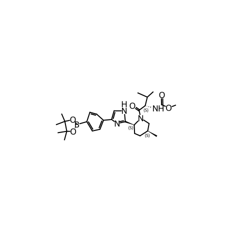 COC(=O)N[C@H](C(=O)N1C[C@@H](C)CC[C@H]1c1nc(-c2ccc(B3OC(C)(C)C(C)(C)O3)cc2)c[nH]1)C(C)C